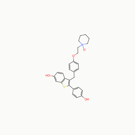 [O-][N+]1(CCOc2ccc(Cc3c(-c4ccc(O)cc4)sc4cc(O)ccc34)cc2)CCCCC1